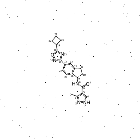 Cc1n[nH]cc1C(=O)N[C@@H]1CCc2cc(-c3noc(C4CCC4)n3)ccc21